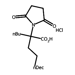 CCCCCCCCCCCCC(CCCC)(C(=O)O)N1C(=O)CCC1=O.Cl